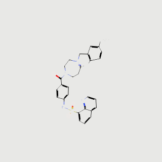 COc1ccc(OC)c(CN2CCCN(C(=O)c3ccc(NS(=O)(=O)c4cccc5cccnc45)cc3)CC2)c1